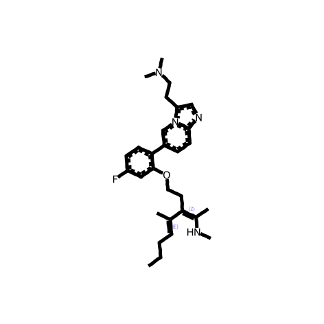 CCC/C=C(C)/C(CCOc1cc(F)ccc1-c1ccc2ncc(CCN(C)C)n2c1)=C(/C)NC